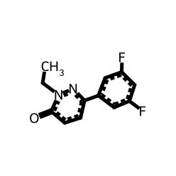 CCn1nc(-c2cc(F)cc(F)c2)ccc1=O